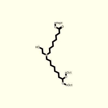 CCCCCCCCOC(CCCCCCCN(CCO)CCCCCCCC(=O)OCCCCCCC)OCCCCCCCC